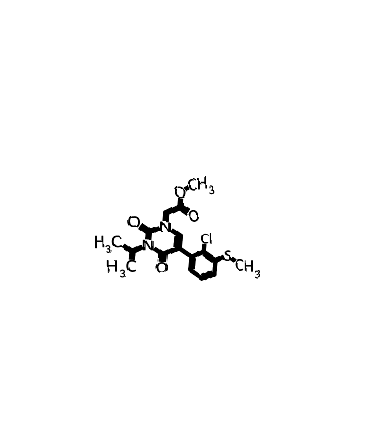 COC(=O)Cn1cc(-c2cccc(SC)c2Cl)c(=O)n(C(C)C)c1=O